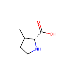 CC1CCN[C@H]1C(=O)O